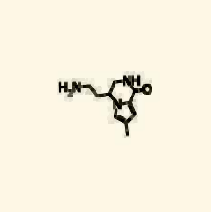 Cc1cc2n(c1)C(CCN)CNC2=O